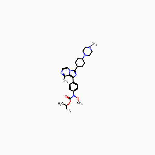 CON(C(=O)OC(C)C)c1ccc(-c2nc(C3CCC(N4CCN(C)CC4)CC3)n3ccnc(C)c23)cc1